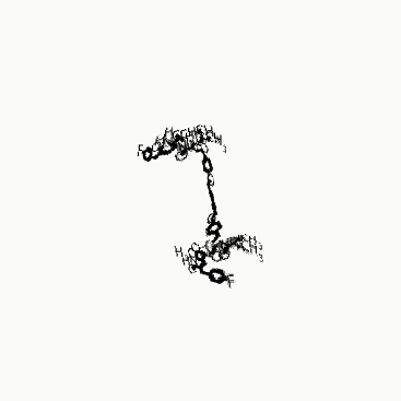 CC[C@H](NC)C(=O)N[C@@H](CCc1ccc(OCC#CC#CCOc2ccc(CC[C@H](NC(=O)[C@H](CC)NC)C(=O)N3CC(C)(C)c4[nH]c(=O)c(Cc5ccc(F)cc5)cc43)cc2)cc1)C(=O)N1CC(C)(C)c2[nH]c(=O)c(Cc3ccc(F)cc3)cc21